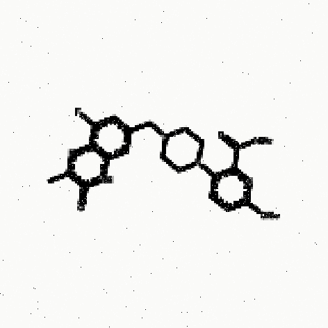 CNC(=O)c1nc(OC)ccc1N1CCN(Cc2cc(F)c3nc(C)c(=O)[nH]c3c2)CC1